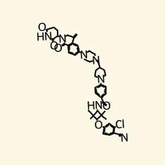 C=C1CN(C2CCC(=O)NC2=O)C(=O)c2ccc(N3CCN(CC4CCN(c5ccc(C(=O)N[C@H]6C(C)(C)[C@H](Oc7ccc(C#N)c(Cl)c7)C6(C)C)cc5)CC4)CC3)cc21